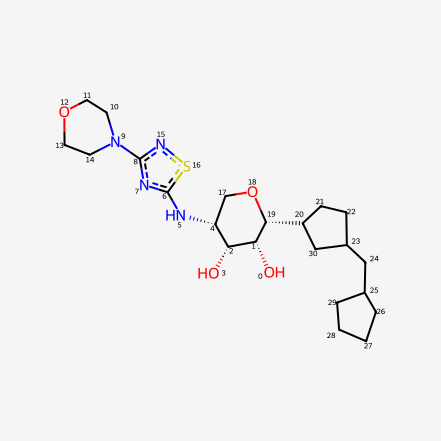 O[C@@H]1[C@H](O)[C@H](Nc2nc(N3CCOCC3)ns2)CO[C@@H]1C1CCC(CC2CCCC2)C1